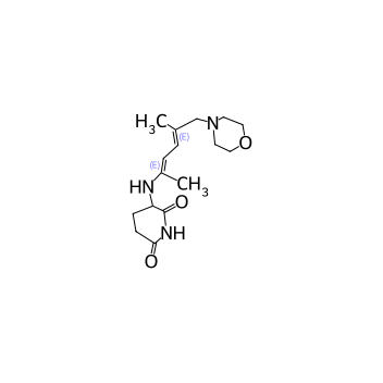 C/C(=C\C=C(/C)NC1CCC(=O)NC1=O)CN1CCOCC1